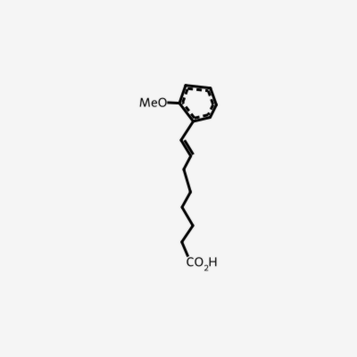 COc1ccccc1C=CCCCCCC(=O)O